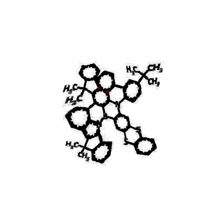 CC(C)(C)c1ccc(N2c3cc4c(cc3B3c5c2cc2c(c5-c5cccc6c7c(n3c56)-c3ccccc3C7(C)C)C(C)(C)c3ccccc3-2)Sc2ccccc2S4)c(-c2ccccc2)c1